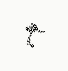 C#Cc1c(F)ccc2cc(OCOC)cc(-c3ncc4c(N5CC6CCC(C6)C5)nc(OCCCN5CCN(C(=O)OCc6ccccc6)CC5)nc4c3F)c12